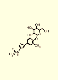 Cc1cc(-c2cc(NC(N)=O)cs2)ccc1OC1OC(CO)C(O)C(O)C1O